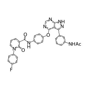 CC(=O)Nc1cccc(-c2n[nH]c3ncnc(Oc4ccc(NC(=O)c5cccn(-c6ccc(F)cc6)c5=O)cc4)c23)c1